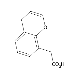 O=C(O)Cc1cccc2c1OC=CC2